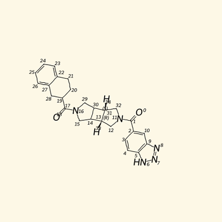 O=C(c1ccc2[nH]nnc2c1)N1C[C@@H]2C3CN(C(=O)C4CCc5ccccc5C4)CC3[C@@H]2C1